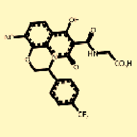 N#Cc1ccc2c(O)c(C(=O)NCC(=O)O)c(=O)n3c2c1OCC3c1ccc(C(F)(F)F)cc1